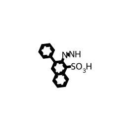 N=Nc1c(-c2ccccc2)cc2ccccc2c1S(=O)(=O)O